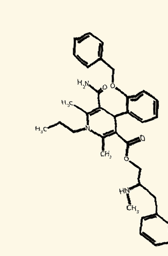 CCCN1C(C)=C(C(N)=O)C(c2ccccc2OCc2ccccc2)C(C(=O)OCC(Cc2ccccc2)NC)=C1C